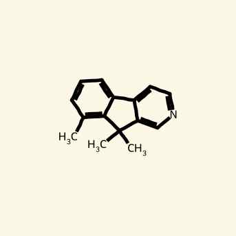 Cc1cccc2c1C(C)(C)c1cnccc1-2